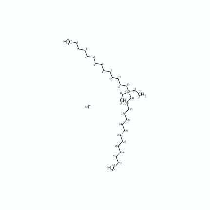 CCCCCCCCCCCCCC[P+](CC)(CC)CCCCCCCCCCCCCC.[I-]